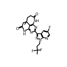 CC(F)(F)CCn1nc(-c2nc3c4c(n2)NC(=O)CC4(C)CCC(=O)N3)c2cc(F)cnc21